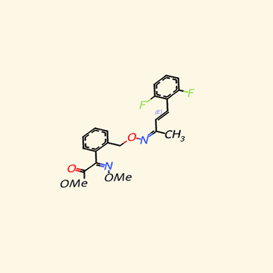 CON=C(C(=O)OC)c1ccccc1CON=C(C)/C=C/c1c(F)cccc1F